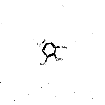 CBr.COc1cccc(OC)c1C=O